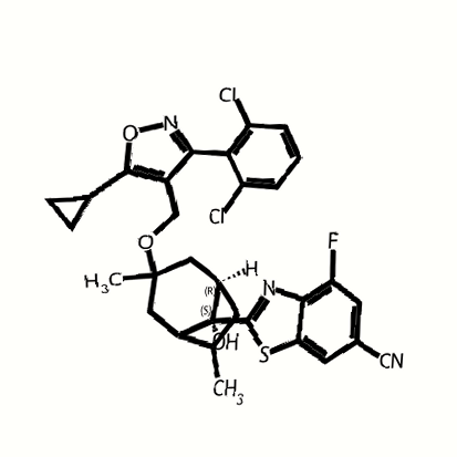 CC1C[C@@H]2CC(C)(OCc3c(-c4c(Cl)cccc4Cl)noc3C3CC3)CC1[C@]2(O)c1nc2c(F)cc(C#N)cc2s1